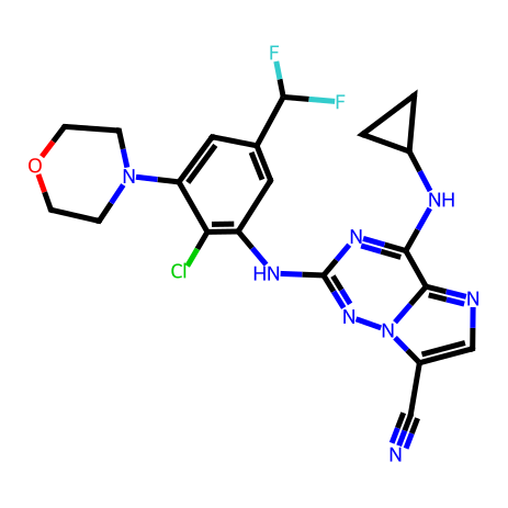 N#Cc1cnc2c(NC3CC3)nc(Nc3cc(C(F)F)cc(N4CCOCC4)c3Cl)nn12